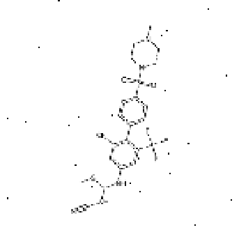 CSC(NC#N)Nc1cc(Cl)c(-c2ccc(S(=O)(=O)N3CCN(C)CC3)cc2)c(C(F)(F)F)c1